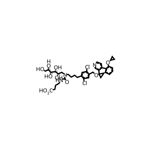 O=C(O)CCCNC(=O)N(CCCCc1cc(Cl)c(COC2(c3cnccc3-c3ccccc3OC3CC3)CC2)cc1Cl)C[C@H](O)[C@@H](O)[C@H](O)[C@H](O)CO